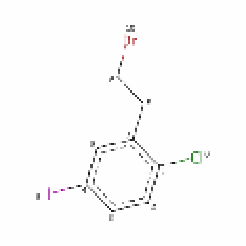 Clc1ccc(I)cc1CCBr